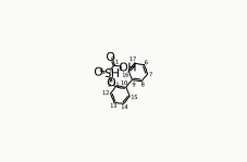 O=C(O)[SH](=O)=O.c1ccc(-c2ccccc2)cc1